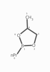 CCCB1OCC(C)O1